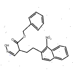 O=C(OCc1ccccc1)C(/C=N\O)CCc1ccc2ccccc2c1[N+](=O)[O-]